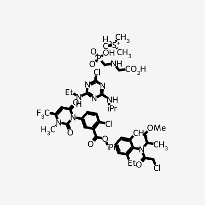 CC(C)OC(=O)c1cc(-n2c(=O)cc(C(F)(F)F)n(C)c2=O)ccc1Cl.CCNc1nc(Cl)nc(NC(C)C)n1.CCc1cccc(C)c1N(C(=O)CCl)C(C)COC.C[S+](C)C.O=C(O)CNCP(=O)([O-])O